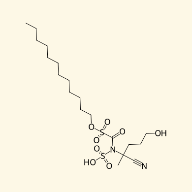 CCCCCCCCCCCCOS(=O)(=O)C(=O)N(C(C)(C#N)CCCO)S(=O)(=O)O